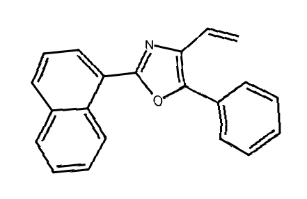 C=Cc1nc(-c2cccc3ccccc23)oc1-c1ccccc1